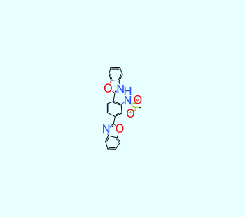 CS(=O)(=O)Nc1cc(-c2nc3ccccc3o2)ccc1-c1nc2ccccc2o1